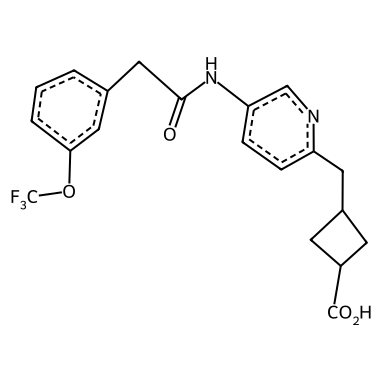 O=C(Cc1cccc(OC(F)(F)F)c1)Nc1ccc(CC2CC(C(=O)O)C2)nc1